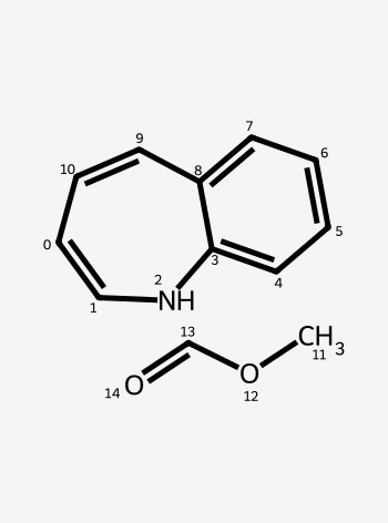 C1=CNc2ccccc2C=C1.COC=O